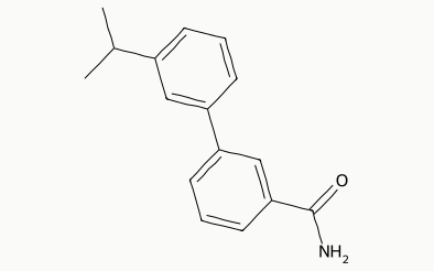 CC(C)c1cccc(-c2cccc(C(N)=O)c2)c1